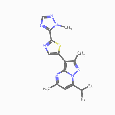 CCC(CC)c1cc(C)nc2c(-c3cnc(-c4ncnn4C)s3)c(C)nn12